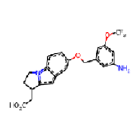 Nc1cc(COc2ccc3c(c2)cc2n3CCC2CC(=O)O)cc(OC(F)(F)F)c1